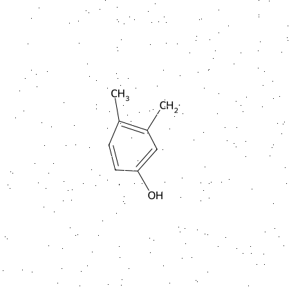 [CH2]c1cc(O)ccc1C